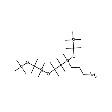 CC(C)(O[Si](C)(C)C(C)(C)O[Si](C)(C)C)C(C)(C)[Si](C)(CCCN)OC(C)(C)[Si](C)(C)C